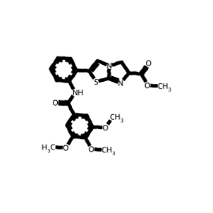 COC(=O)C1CN2C=C(c3ccccc3NC(=O)c3cc(OC)c(OC)c(OC)c3)SC2=N1